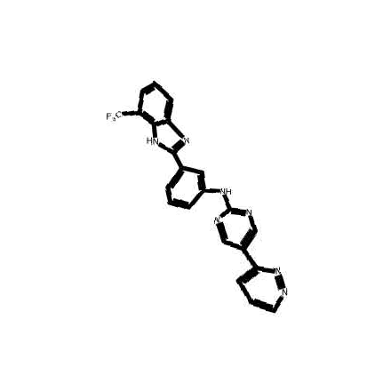 FC(F)(F)c1cccc2nc(-c3cccc(Nc4ncc(-c5cccnn5)cn4)c3)[nH]c12